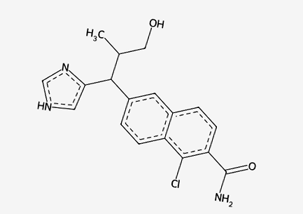 CC(CO)C(c1ccc2c(Cl)c(C(N)=O)ccc2c1)c1c[nH]cn1